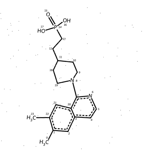 Cc1cc2ccnc(N3CCC(CCP(=O)(O)O)CC3)c2cc1C